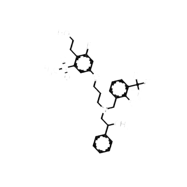 CC(CN(CCCOc1cc(F)c(CCO)c(S(C)(=O)=O)c1)Cc1cccc(C(F)(F)F)c1Cl)c1ccccc1